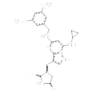 COc1cc(CNc2cc(NC3CC3)n3ncc(/C=C4\CC(=O)NC4=O)c3n2)cc(OC)c1